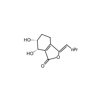 CCC/C=C1\OC(=O)C2=C1CC[C@@H](O)[C@H]2O